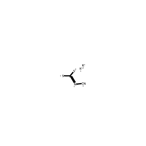 N#CN=C([S-])[S-].[K+].[K+]